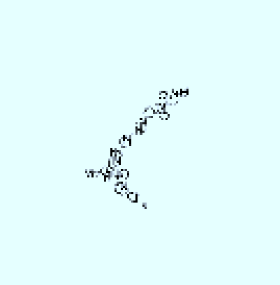 COc1cc2nc(C3CCN(CCN4CCN(c5ccc6c(c5)C(=O)N(C5CCC(=O)NC5=O)C6)CC4)CC3)cn2cc1NC(=O)c1cccc(C(F)(F)F)n1